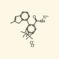 CC1=Cc2cccc(-c3c(C(=O)[NH][Ti+2])cc4c(C)c3[Si](C)(C)[Si]4(C)C)c2C1.[Cl-].[Cl-]